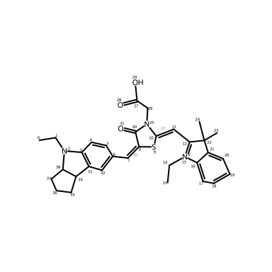 CCN1c2ccc(/C=c3/s/c(=C\C4=[N+](CC)c5ccccc5C4(C)C)n(CC(=O)O)c3=O)cc2C2CCCC21